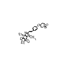 CCn1c(=O)c2c(nc(C=Cc3ccc(OC4CCS(=O)(=O)CC4)cc3)n2C)n(CC)c1=O